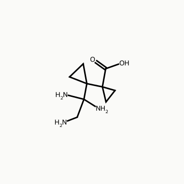 NCC(N)(N)C1(C2(C(=O)O)CC2)CC1